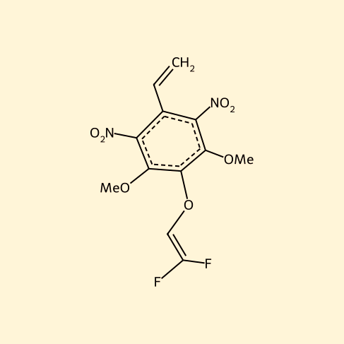 C=Cc1c([N+](=O)[O-])c(OC)c(OC=C(F)F)c(OC)c1[N+](=O)[O-]